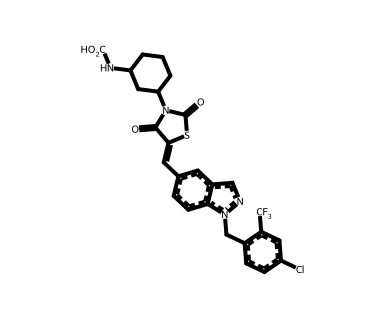 O=C(O)NC1CCCC(N2C(=O)SC(=Cc3ccc4c(cnn4Cc4ccc(Cl)cc4C(F)(F)F)c3)C2=O)C1